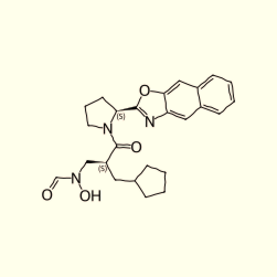 O=CN(O)C[C@H](CC1CCCC1)C(=O)N1CCC[C@H]1c1nc2cc3ccccc3cc2o1